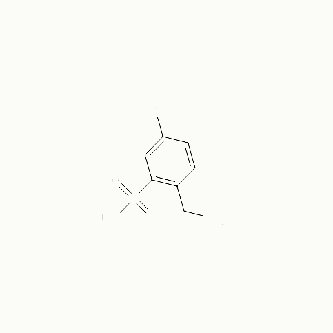 CS(=O)(=O)c1cc(Cl)ccc1CC(=O)O